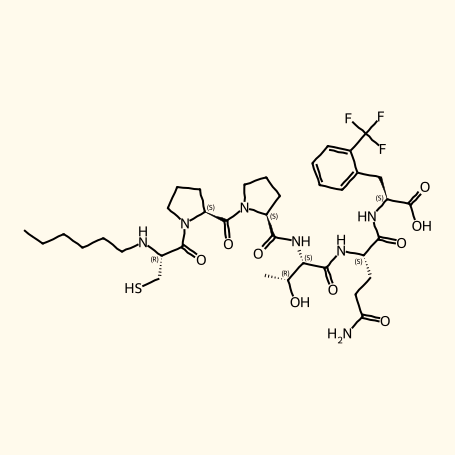 CCCCCCN[C@@H](CS)C(=O)N1CCC[C@H]1C(=O)N1CCC[C@H]1C(=O)N[C@H](C(=O)N[C@@H](CCC(N)=O)C(=O)N[C@@H](Cc1ccccc1C(F)(F)F)C(=O)O)[C@@H](C)O